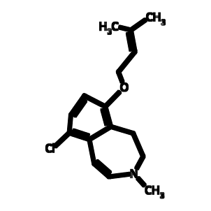 CC(C)=CCOc1ccc(Cl)c2c1CCN(C)C=C2